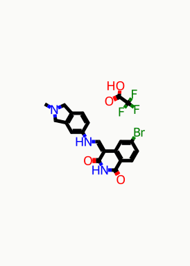 CN1Cc2ccc(NC=C3C(=O)NC(=O)c4ccc(Br)cc43)cc2C1.O=C(O)C(F)(F)F